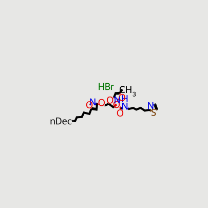 Br.CCCCCCCCCCCCCCCc1cc(OCC(COC(=O)NCCCCCc2nccs2)Oc2cc(C)on2)no1